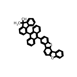 CC1(C)c2ccccc2-c2c(-c3c4ccccc4c(-c4ccc5sc6c(ccc7oc8ccccc8c76)c5c4)c4ccccc34)cccc21